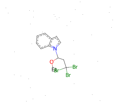 CCOC(CC(Br)(Br)Br)n1ccc2ccccc21